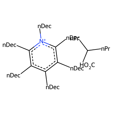 CCCC(CCC)C(=O)O.CCCCCCCCCCc1c(CCCCCCCCCC)c(CCCCCCCCCC)[n+](CCCCCCCCCC)c(CCCCCCCCCC)c1CCCCCCCCCC